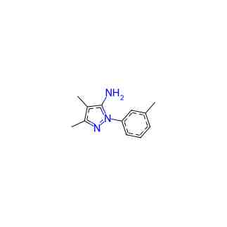 Cc1cccc(-n2nc(C)c(C)c2N)c1